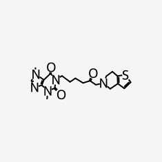 Cn1cnc2c1c(=O)n(CCCCC(=O)CN1CCc3sccc3C1)c(=O)n2C